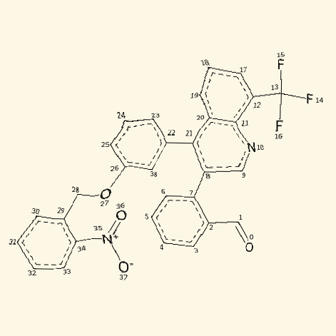 O=Cc1ccccc1-c1cnc2c(C(F)(F)F)cccc2c1-c1cccc(OCc2ccccc2[N+](=O)[O-])c1